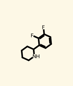 Fc1cccc(C2CCCCN2)c1F